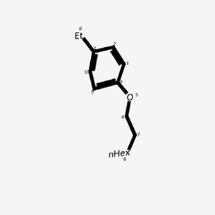 [CH2]Cc1ccc(OCCCCCCCC)cc1